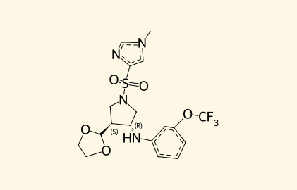 Cn1cnc(S(=O)(=O)N2C[C@H](Nc3cccc(OC(F)(F)F)c3)[C@@H](C3OCCO3)C2)c1